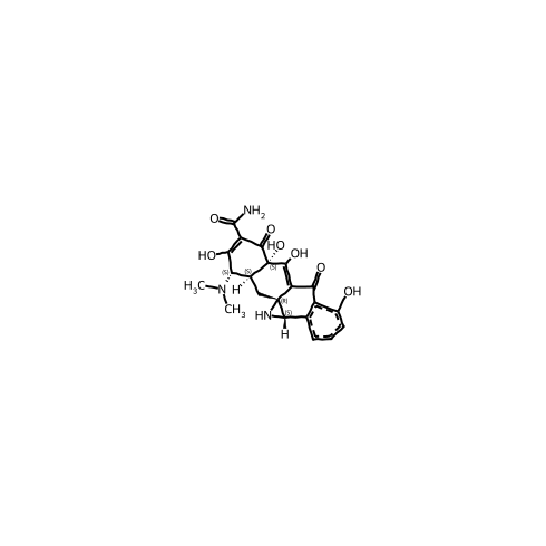 CN(C)[C@@H]1C(O)=C(C(N)=O)C(=O)[C@@]2(O)C(O)=C3C(=O)c4c(O)cccc4[C@@H]4N[C@]34C[C@@H]12